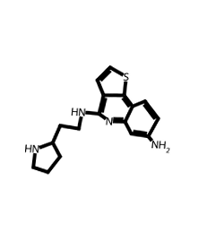 Nc1ccc2c(c1)nc(NCCC1CCCN1)c1ccsc12